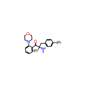 CCCC(Cc1ccc(C(C)C)cc1)(C(=O)c1ccccc1N1CCOCC1)N(C)C